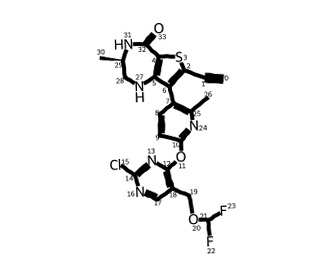 C#Cc1sc2c(c1-c1ccc(Oc3nc(Cl)ncc3COC(F)F)nc1C)NC[C@@H](C)NC2=O